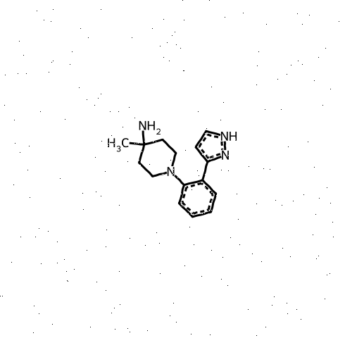 CC1(N)CCN(c2ccccc2-c2cc[nH]n2)CC1